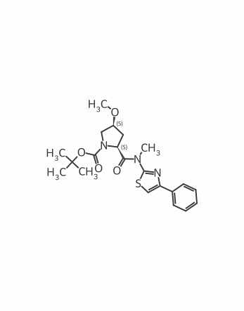 CO[C@H]1C[C@@H](C(=O)N(C)c2nc(-c3ccccc3)cs2)N(C(=O)OC(C)(C)C)C1